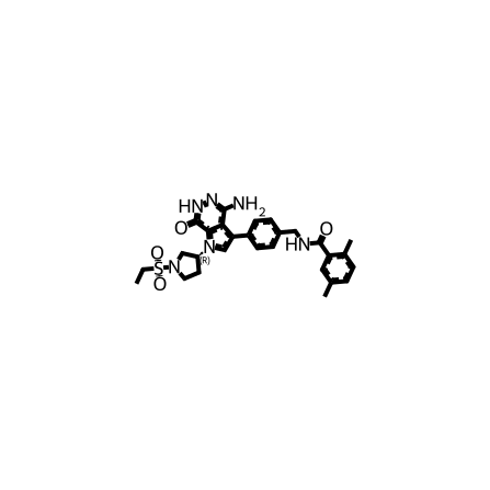 CCS(=O)(=O)N1CC[C@@H](n2cc(-c3ccc(CNC(=O)c4cc(C)ccc4C)cc3)c3c(N)n[nH]c(=O)c32)C1